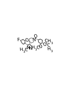 COc1cc(C(=O)N2CCC3(CC2)Oc2cc(F)ccc2-c2c3cnn2C)ccc1OC(C)C